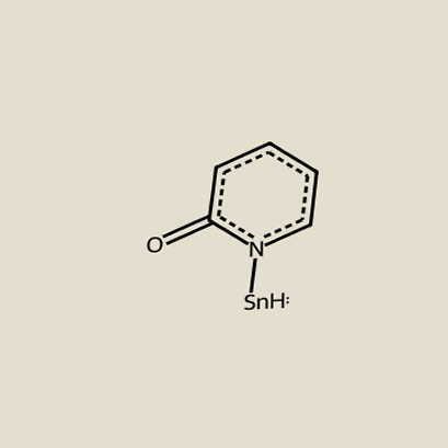 O=c1cccc[n]1[SnH]